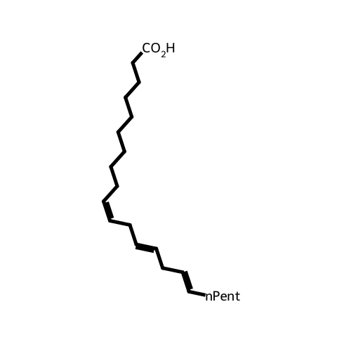 CCCCCC=CCC=CC/C=C\CCCCCCCCC(=O)O